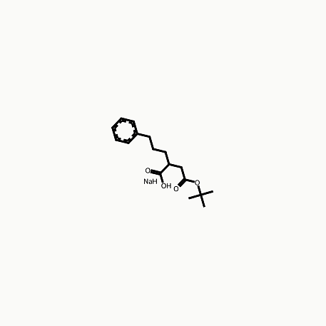 CC(C)(C)OC(=O)CC(CCCc1ccccc1)C(=O)O.[NaH]